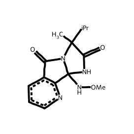 CONC12NC(=O)C(C)(C(C)C)N1C(=O)c1cccnc12